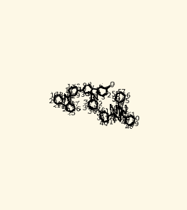 Cc1ccc2c(c1)c1ccc(-c3cccc(-n4c5ccccc5c5ccccc54)c3)cc1n2-c1cccc(-c2cccc(-c3nc(-c4ccccc4)nc(-c4ccccc4)n3)c2)c1